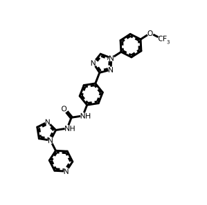 O=C(Nc1ccc(-c2ncn(-c3ccc(OC(F)(F)F)cc3)n2)cc1)Nc1nccn1-c1ccncc1